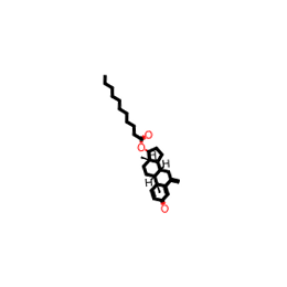 C=C1C[C@H]2[C@@H]3CC[C@H](OC(=O)CCCCCCCCCC)[C@@]3(C)CC[C@@H]2[C@@]2(C)C=CC(=O)C=C12